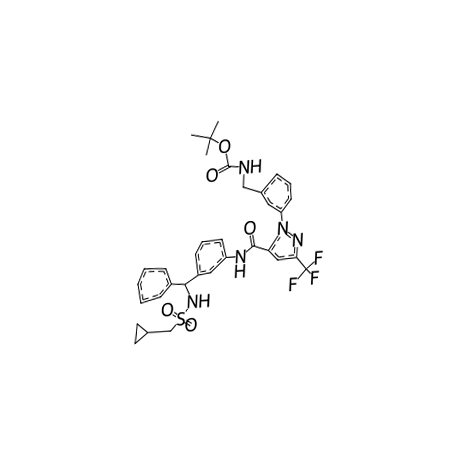 CC(C)(C)OC(=O)NCc1cccc(-n2nc(C(F)(F)F)cc2C(=O)Nc2cccc(C(NS(=O)(=O)CC3CC3)c3ccccc3)c2)c1